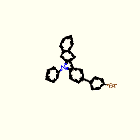 Brc1ccc(-c2ccc3c(c2)c2cc4ccccc4cc2n3-c2ccccc2)cc1